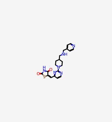 O=C1NC(=O)/C(=C\c2ccnc(N3CCC(CNCc4ccncc4)CC3)n2)S1